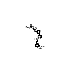 COc1ccc(CCNc2nccc(-c3cccc(NC(=O)CNC(=O)OC(C)(C)C)c3)n2)cc1OC